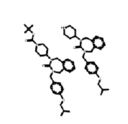 CC(C)COc1ccc(CN2Cc3ccccc3CN(C3CCN(C(=O)OC(C)(C)C)CC3)C2=O)cc1.CC(C)COc1ccc(CN2Cc3ccccc3CN(C3CCNCC3)C2=O)cc1